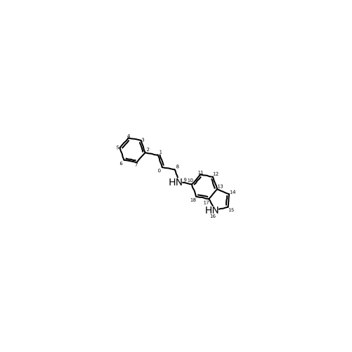 C(=C\c1ccccc1)/CNc1ccc2cc[nH]c2c1